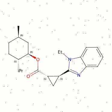 CCn1c([C@H]2C[C@@H]2C(=O)O[C@@H]2C[C@H](C)CC[C@H]2C(C)C)nc2ccccc21